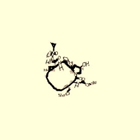 COC[C@@H]1CCCC/C=C\[C@@H]2C[C@@]2(C(=O)NS(=O)(=O)C2CC2)NC(=O)[C@@H]2C[C@@H](O)CN2C(=O)[C@H]1NC(=O)OC(C)(C)C